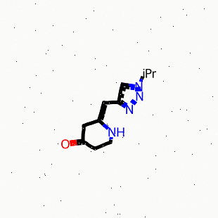 CC(C)n1cc(C=C2CC(=O)CCN2)nn1